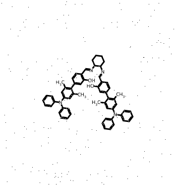 Cc1cc(N(c2ccccc2)c2ccccc2)cc(C)c1-c1ccc(/C=N/C2CCCCC2/N=C/c2ccc(-c3c(C)cc(N(c4ccccc4)c4ccccc4)cc3C)cc2O)c(O)c1